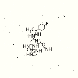 CNC(CC(NN[C@@H](C)C1CCC(F)CC1)N1CC(OC=N)C1)N[C@H]1CNCCN1